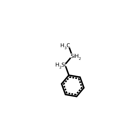 C[SiH2][SiH2]c1ccccc1